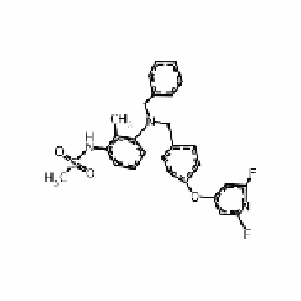 Cc1c(NS(C)(=O)=O)cccc1N(Cc1ccccc1)Cc1ccc(Oc2cc(F)nc(F)c2)cc1